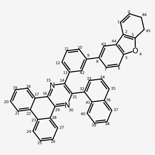 C1=Cc2c(oc3ccc(-c4cccc(-c5nc6c7ccccc7c7ccccc7c6nc5-c5cccc6ccccc56)c4)cc23)CC1